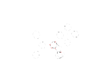 c1ccc(-c2cc(-c3ccccc3)cc(-c3nc(-c4ccccc4)nc(-c4ccc5c(c4)C4(c6ccccc6-5)c5ccccc5-c5ccc(-n6c7ccccc7c7ccccc76)cc54)n3)c2)cc1